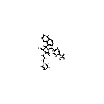 CC1(c2cccc3ccccc23)C(=O)N(CCCn2ccnc2)C(=O)N1Cc1ccc(S(C)(=O)=O)cc1